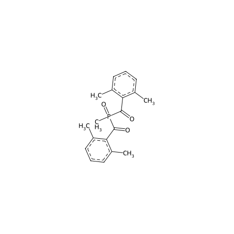 Cc1cccc(C)c1C(=O)P(C)(=O)C(=O)c1c(C)cccc1C